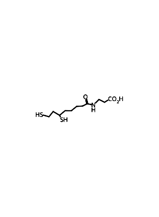 O=C(O)CCNC(=O)CCCCC(S)CCS